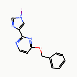 In1cnc(-c2nccc(OCc3ccccc3)n2)c1